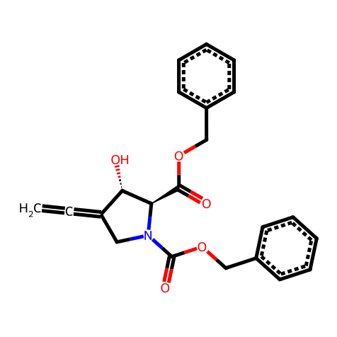 C=C=C1CN(C(=O)OCc2ccccc2)[C@H](C(=O)OCc2ccccc2)[C@H]1O